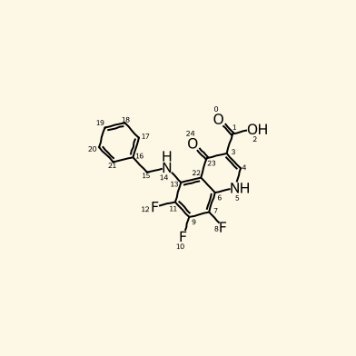 O=C(O)c1c[nH]c2c(F)c(F)c(F)c(NCc3ccccc3)c2c1=O